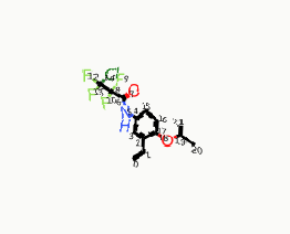 C=Cc1cc(NC(=O)C(F)(F)C(F)(F)Cl)ccc1OC(C)C